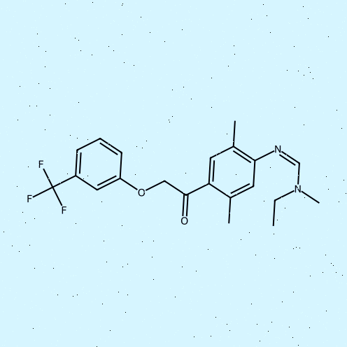 CCN(C)/C=N\c1cc(C)c(C(=O)COc2cccc(C(F)(F)F)c2)cc1C